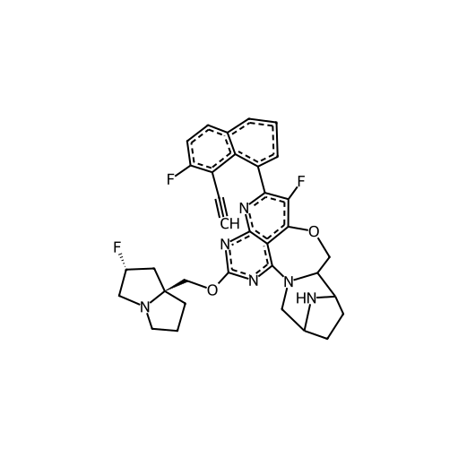 C#Cc1c(F)ccc2cccc(-c3nc4nc(OC[C@@]56CCCN5C[C@H](F)C6)nc5c4c(c3F)OCC3C4CCC(CN53)N4)c12